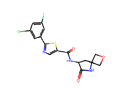 O=C(NC1CC2(COC2)NC1=O)c1cnc(-c2cc(F)cc(Cl)c2)s1